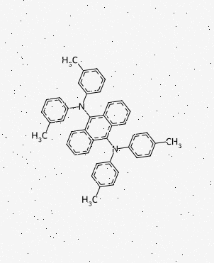 Cc1ccc(N(c2ccc(C)cc2)c2c3ccccc3c(N(c3cccc(C)c3)c3cccc(C)c3)c3ccccc23)cc1